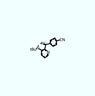 C/N=C(/c1ccc(C#N)cc1)c1ncccc1N(C)C(C)(C)C